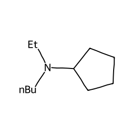 [CH2]CN(CCCC)C1CCCC1